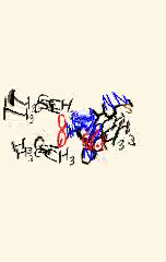 CC(C)(C)OC(=O)N1C2CCC1CC(C)(c1cc(N(COCC[Si](C)(C)C)COCC[Si](C)(C)C)n3ncc(-c4ccc(-c5nccs5)nc4)c3n1)C2